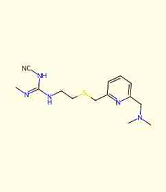 CN=C(NC#N)NCCSCc1cccc(CN(C)C)n1